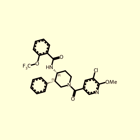 COc1ncc(C(=O)N2CC[C@@H](NC(=O)c3ccccc3OC(F)(F)F)[C@@H](c3ccccc3)C2)cc1Cl